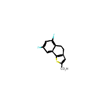 O=C(O)c1cc2c(s1)-c1cc(F)cc(F)c1CC2